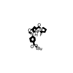 CC(C)(C)OC(=O)c1ccc(N2COc3cc(C(=O)N4CCCC4(F)F)[nH]c32)cc1